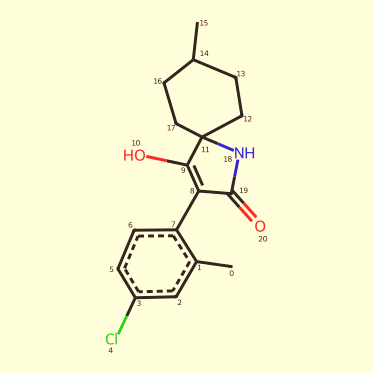 Cc1cc(Cl)ccc1C1=C(O)C2(CCC(C)CC2)NC1=O